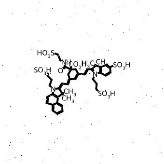 CC1(C)C(/C=C/C2=CC(=C/C=C3/N(CCCS(=O)(=O)O)c4ccc5ccccc5c4C3(C)C)/CC(C(=O)O)(C(=O)NCCS(=O)(=O)O)C2)=[N+](CCCS(=O)(=O)O)c2ccc(S(=O)(=O)O)cc21